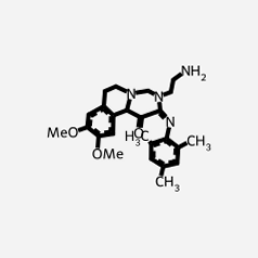 COc1cc2c(cc1OC)C1C(=O)C(=Nc3c(C)cc(C)cc3C)N(CCN)CN1CC2